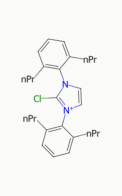 CCCc1cccc(CCC)c1-n1cc[n+](-c2c(CCC)cccc2CCC)c1Cl